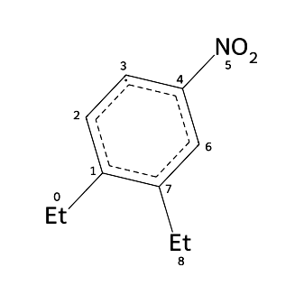 CCc1c[c]c([N+](=O)[O-])cc1CC